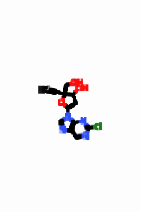 C#C[C@]1(CO)O[C@@H](n2cnc3cnc(Cl)nc32)C[C@@H]1O